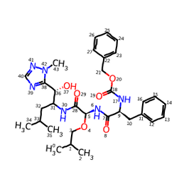 CC(C)CO[C@H](NC(=O)[C@H](Cc1ccccc1)NC(=O)OCc1ccccc1)C(=O)NC(CC(C)C)[C@@H](O)c1ncnn1C